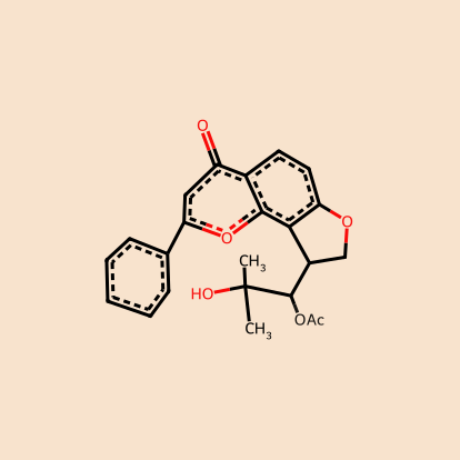 CC(=O)OC(C1COc2ccc3c(=O)cc(-c4ccccc4)oc3c21)C(C)(C)O